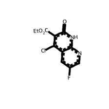 CCOC(=O)c1c(Cl)c2cc(F)cnc2[nH]c1=O